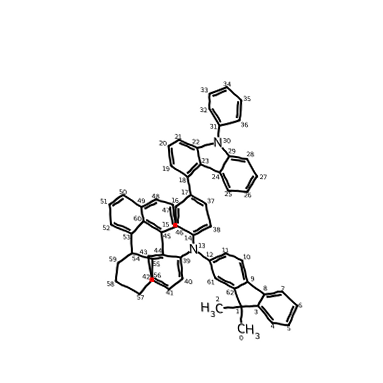 CC1(C)c2ccccc2-c2ccc(N(c3ccc(-c4cccc5c4c4ccccc4n5-c4ccccc4)cc3)c3ccccc3-c3cccc4cccc(C5CCCCC5)c34)cc21